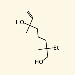 C=CC(C)(O)CCCC(C)(CC)CO